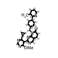 COc1ncnc(C2CC2)c1-c1ncc2ccc(=O)n(Cc3ccc(-c4ncccc4C)cc3)c2n1